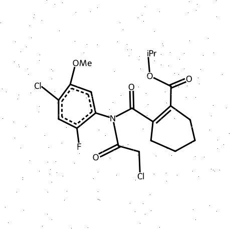 COc1cc(N(C(=O)CCl)C(=O)C2=C(C(=O)OC(C)C)CCCC2)c(F)cc1Cl